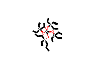 C=C[Si](CC)(CC)O[Si](O[Si](C=C)(CC)CC)(O[Si](C=C)(CC)CC)O[Si](C=C)(CCC)CCC